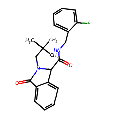 CC(C)(C)CN1C(=O)c2ccccc2C1C(=O)NCc1ccccc1F